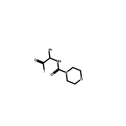 CC(C)C(NC(=O)N1CCOCC1)C(=O)I